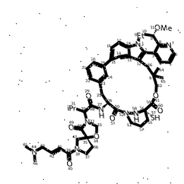 CCn1c(-c2cccnc2[C@H](C)OC)c2c3cc(ccc31)-c1cccc(c1)C[C@H](NC(=O)C(C(C)C)N1CO[C@@]3(CCN(C(=O)/C=C/CN(C)C)C3)C1=O)C(=O)N1CCC[C@@](S)(N1)C(=O)OCC(C)(C)C2